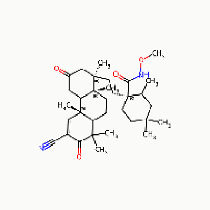 CONC(=O)[C@]1(CC[C@]2(C)CC(=O)CC3[C@@]4(C)C=C(C#N)C(=O)C(C)(C)C4CC[C@]32C)CCC(C)(C)CC1C